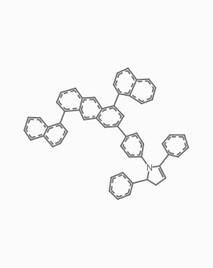 C1=C(c2ccccc2)N(c2ccc(-c3cc(-c4cccc5ccccc45)c4cc5cccc(-c6cccc7ccccc67)c5cc4c3)cc2)C(c2ccccc2)C1